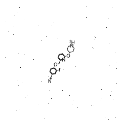 [2H]N1CCC(Oc2cccc(COc3ccc(C#N)cc3F)n2)CC1